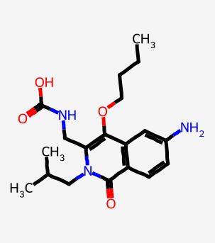 CCCCOc1c(CNC(=O)O)n(CC(C)C)c(=O)c2ccc(N)cc12